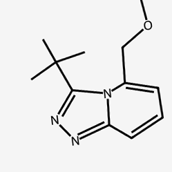 COCc1cccc2nnc(C(C)(C)C)n12